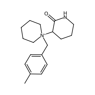 Cc1ccc(C[N+]2(C3CCCNC3=O)CCCCC2)cc1